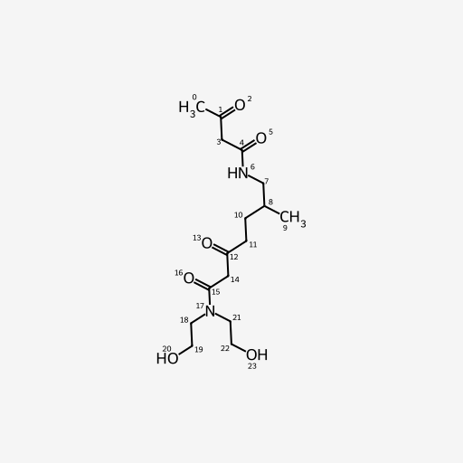 CC(=O)CC(=O)NCC(C)CCC(=O)CC(=O)N(CCO)CCO